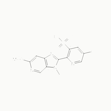 CCS(=O)(=O)c1cc(C(F)(F)F)cnc1-c1nc2cc(OC)ncc2n1C